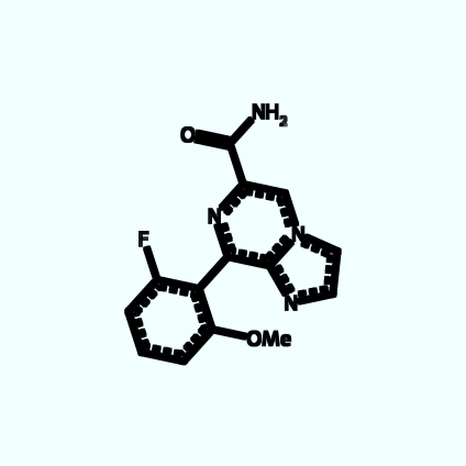 COc1cccc(F)c1-c1nc(C(N)=O)cn2ccnc12